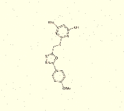 COc1ccc(-c2nnc(CSc3nc(O)cc(C(C)(C)C)n3)o2)cc1